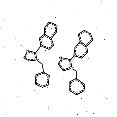 c1ccc(C[n+]2cc[nH]c2-c2ccc3ccccc3c2)cc1.c1ccc(C[n+]2cc[nH]c2-c2ccc3ccccc3c2)cc1